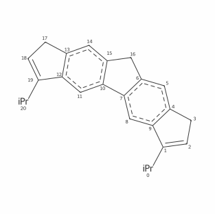 CC(C)C1=CCc2cc3c(cc21)-c1cc2c(cc1C3)CC=C2C(C)C